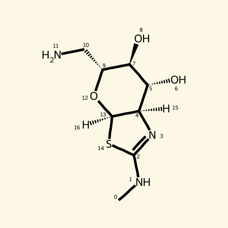 CNC1=N[C@@H]2[C@@H](O)[C@H](O)[C@@H](CN)O[C@@H]2S1